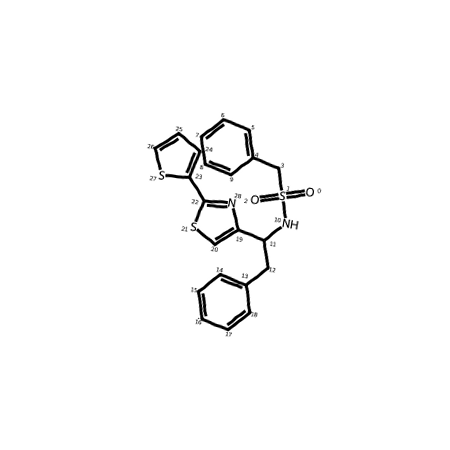 O=S(=O)(Cc1ccccc1)NC(Cc1cc[c]cc1)c1csc(-c2cccs2)n1